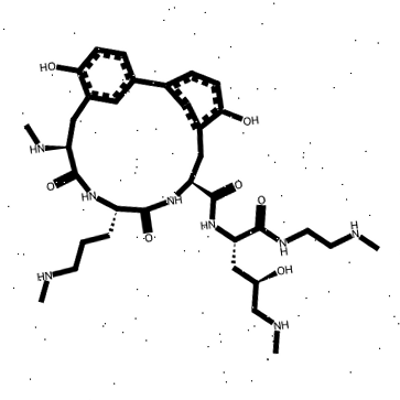 CNCCC[C@@H]1NC(=O)[C@@H](NC)Cc2cc(ccc2O)-c2ccc(O)c(c2)C[C@@H](C(=O)N[C@@H](C[C@@H](O)CNC)C(=O)NCCNC)NC1=O